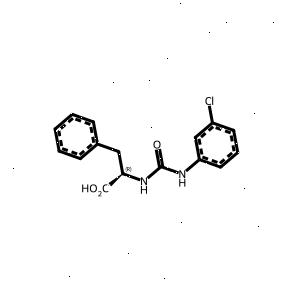 O=C(Nc1cccc(Cl)c1)N[C@H](Cc1ccccc1)C(=O)O